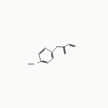 COc1ccc(CC(=O)C=N)cc1